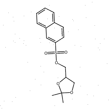 CC1(C)OCC(COS(=O)(=O)c2ccc3ccccc3c2)O1